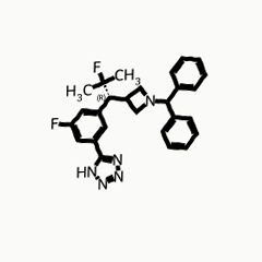 CC(C)(F)[C@@H](c1cc(F)cc(-c2nnn[nH]2)c1)C1CN(C(c2ccccc2)c2ccccc2)C1